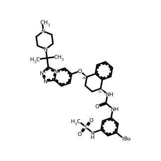 CN1CCN(C(C)(C)c2nnc3ccc(O[C@@H]4CC[C@H](NC(=O)Nc5cc(NS(C)(=O)=O)cc(C(C)(C)C)c5)c5ccccc54)cn23)CC1